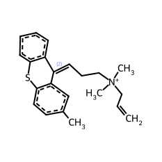 C=CC[N+](C)(C)CC/C=C1/c2ccccc2Sc2ccc(C)cc21